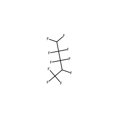 F[C](F)C(F)(F)C(F)(F)[C](F)C(F)(F)F